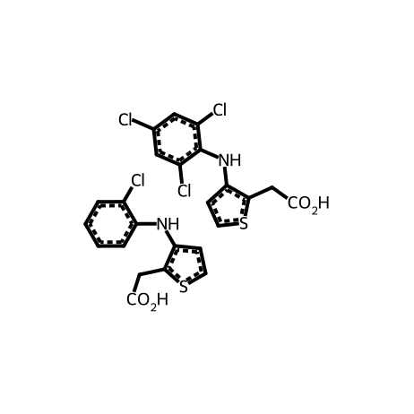 O=C(O)Cc1sccc1Nc1c(Cl)cc(Cl)cc1Cl.O=C(O)Cc1sccc1Nc1ccccc1Cl